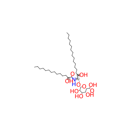 CCCCCCCCCCCCCCC[C@@H](O)[C@H](COC1OC(C(=O)O)C(O)C(O)C1O)NC(=O)[C@@H](O)CCCCCCCCCCCC